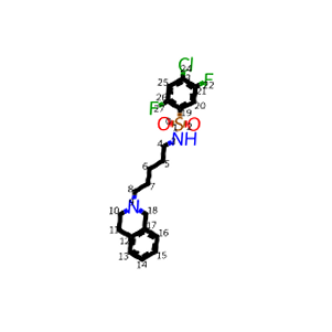 O=S(=O)(NCCCCCN1CCc2ccccc2C1)c1cc(F)c(Cl)cc1F